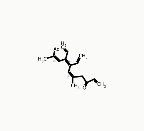 C=CC(=O)C\C(C)=C/C(C=C)=C(C=C)\C=C(\C)C(C)=O